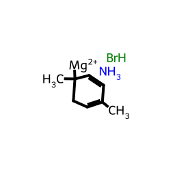 Br.CC1=CC[C](C)([Mg+2])C=C1.N